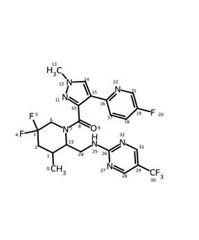 CC1CC(F)(F)CN(C(=O)c2nn(C)cc2-c2ccc(F)cn2)C1CNc1ncc(C(F)(F)F)cn1